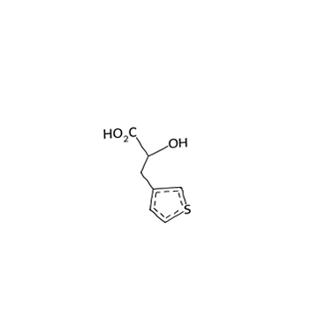 O=C(O)C(O)Cc1ccsc1